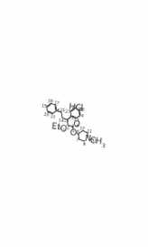 CCOC(C(=O)OC1CCN(C)CC1)C(CCc1ccccc1)c1ccccc1.Cl